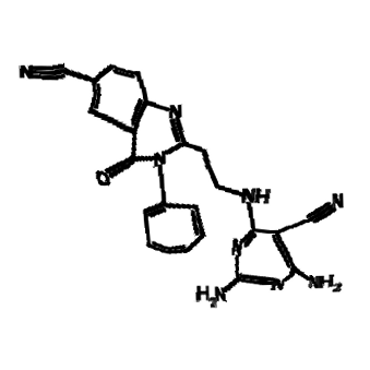 N#Cc1ccc2nc(CCNc3nc(N)nc(N)c3C#N)n(-c3ccccc3)c(=O)c2c1